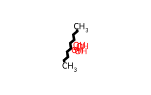 CCCCCCCCCC.OO.OO